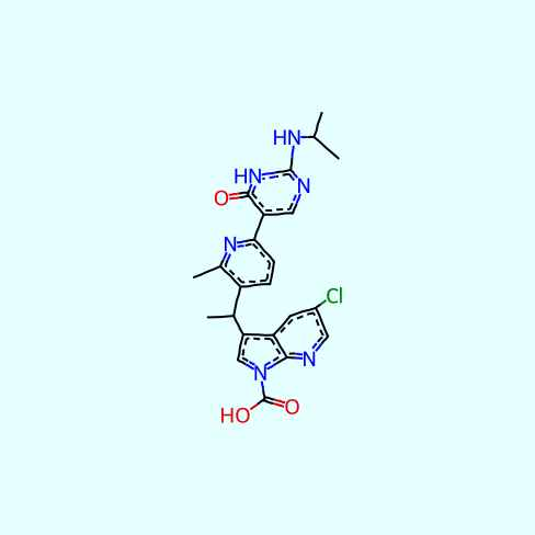 Cc1nc(-c2cnc(NC(C)C)[nH]c2=O)ccc1C(C)c1cn(C(=O)O)c2ncc(Cl)cc12